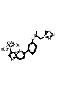 CCC[CH2][Sn]([CH2]CCC)([CH2]CCC)[c]1cnc2ccc(-c3cccc(O[C@@H](C)Cn4cnnn4)c3)nn12